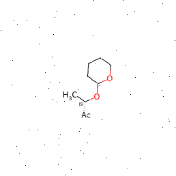 CC(=O)[C@H](C)OC1CCCCO1